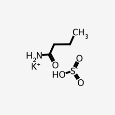 CCCC(N)=O.O=[S-](=O)O.[K+]